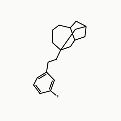 Fc1cccc(CCC23CCCC4CC(CC4C2)C3)c1